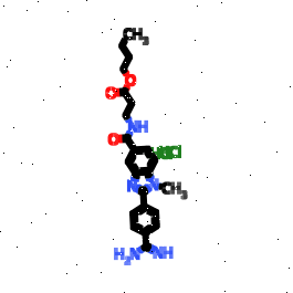 CCCCOC(=O)CCNC(=O)c1ccc2c(c1)nc(-c1ccc(C(=N)N)cc1)n2C.Cl.Cl